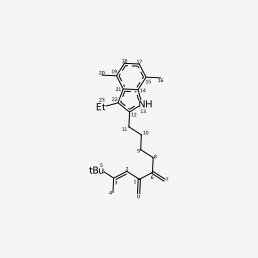 C=C(/C=C(\C)C(C)(C)C)C(=C)CCCCc1[nH]c2c(C)ccc(C)c2c1CC